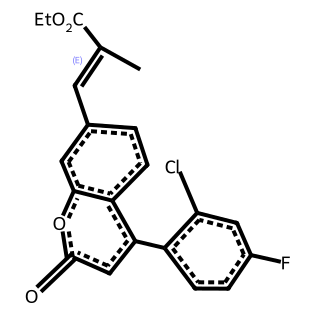 CCOC(=O)/C(C)=C/c1ccc2c(-c3ccc(F)cc3Cl)cc(=O)oc2c1